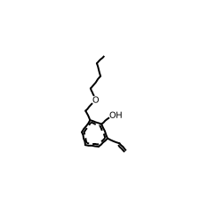 C=Cc1cccc(COCCCC)c1O